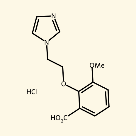 COc1cccc(C(=O)O)c1OCCn1ccnc1.Cl